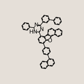 c1ccc(-c2cccc(C3=NC(c4ccccc4)NC(c4ccc(-c5ccc(-c6cccc7ccccc67)cc5)c5oc6c7ccccc7ccc6c45)=N3)c2)cc1